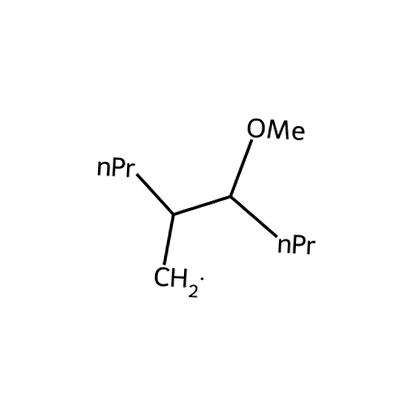 [CH2]C(C[CH]C)C(CCC)OC